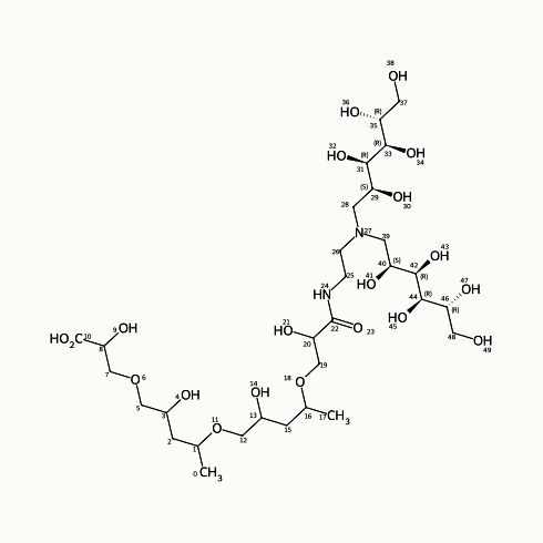 CC(CC(O)COCC(O)C(=O)O)OCC(O)CC(C)OCC(O)C(=O)NCCN(C[C@H](O)[C@@H](O)[C@H](O)[C@H](O)CO)C[C@H](O)[C@@H](O)[C@H](O)[C@H](O)CO